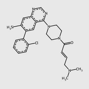 CN(C)C/C=C/C(=O)N1CCN(c2ncnc3cc([SiH3])c(-c4ccccc4Cl)cc23)CC1